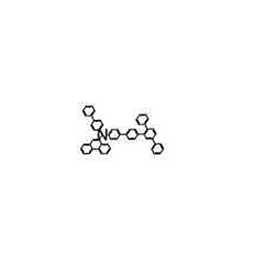 c1ccc(-c2ccc(N(c3ccc(-c4ccc(-c5cc(-c6ccccc6)ccc5-c5ccccc5)cc4)cc3)c3cc4ccccc4c4ccccc34)cc2)cc1